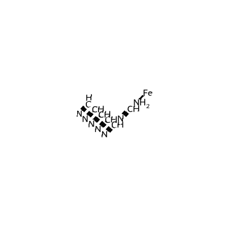 C#N.C#N.C#N.C#N.C#N.C#N.[NH2][Fe]